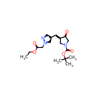 CCOC(=O)Cn1cc(/C=C2\CN(C(=O)OC(C)(C)C)CC2=O)cn1